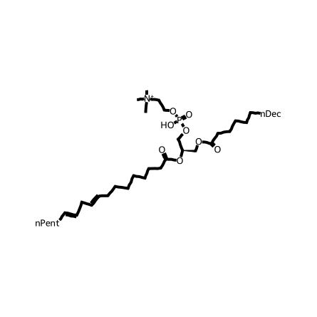 CCCCC/C=C/C/C=C/CCCCCCCC(=O)O[C@H](COC(=O)CCCCCCCCCCCCCCC)COP(=O)(O)OCC[N+](C)(C)C